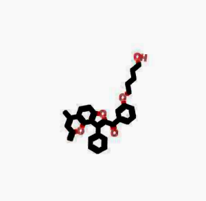 C=C1C=C(C)c2ccc3oc(C(=O)c4cccc(OCCCCCO)c4)c(-c4ccccc4)c3c2O1